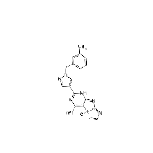 CCCC1=C2C(=NC3=NC=C[N+]32[O-])NC(c2cnn(Cc3cccc(C)c3)c2)=N1